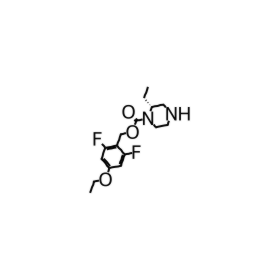 CCOc1cc(F)c(COC(=O)N2CCNC[C@H]2CC)c(F)c1